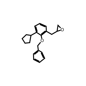 c1ccc(COc2c(CC3CO3)cccc2C2CCCC2)cc1